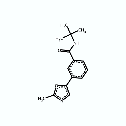 Cc1ncc(-c2cccc(C(=O)NC(C)(C)C)c2)o1